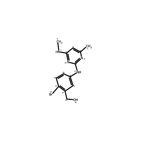 CNc1cc(C)nc(Nc2ccc(Br)c(CO)c2)n1